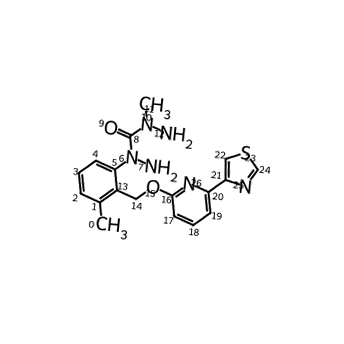 Cc1cccc(N(N)C(=O)N(C)N)c1COc1cccc(-c2cscn2)n1